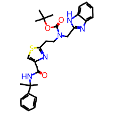 CC(C)(C)OC(=O)N(CCc1nc(C(=O)NC(C)(C)c2ccccc2)cs1)Cc1nc2ccccc2[nH]1